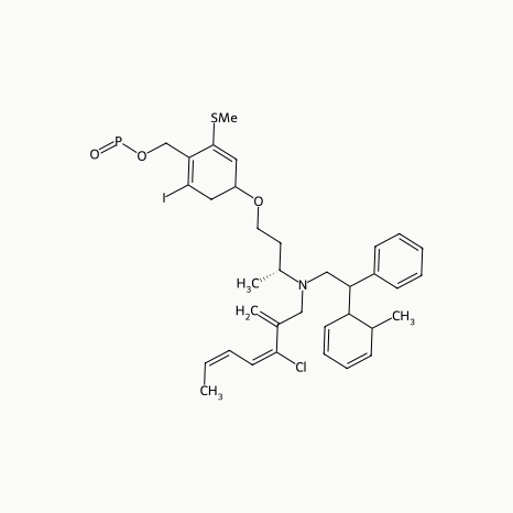 C=C(CN(CC(c1ccccc1)C1C=CC=CC1C)[C@H](C)CCOC1C=C(SC)C(COP=O)=C(I)C1)/C(Cl)=C\C=C/C